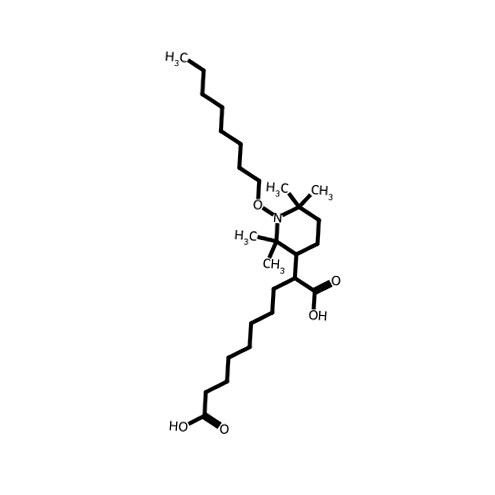 CCCCCCCCON1C(C)(C)CCC(C(CCCCCCCC(=O)O)C(=O)O)C1(C)C